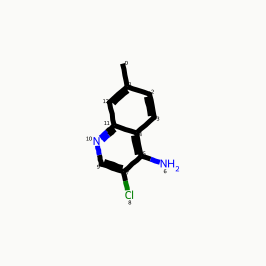 Cc1ccc2c(N)c(Cl)cnc2c1